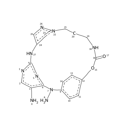 Nc1cnc2nc1N(N)c1ccc(cc1)OC(=O)NCCCn1cc(cn1)N2